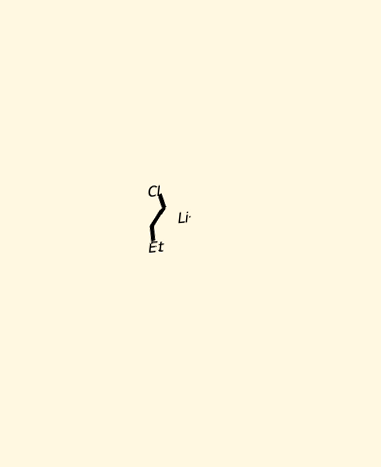 CCCCCl.[Li]